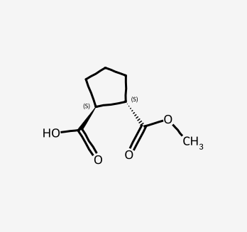 COC(=O)[C@H]1CCC[C@@H]1C(=O)O